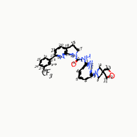 O=C(Nc1cccc(N2CC3(COC3)C2)n1)N1CCc2ccc(-c3cccc(C(F)(F)F)c3)nc21